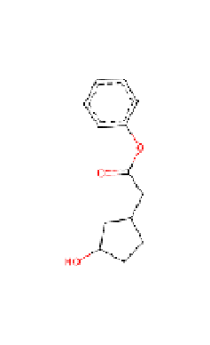 O=C(CC1CCC(O)C1)Oc1ccccc1